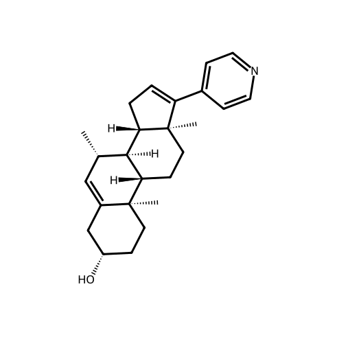 C[C@H]1C=C2C[C@@H](O)CC[C@]2(C)[C@H]2CC[C@]3(C)C(c4ccncc4)=CC[C@H]3[C@H]12